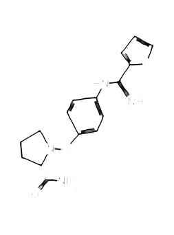 N=C(Nc1ccc(ON2CCC[C@H]2C(N)=O)cc1)c1cccs1